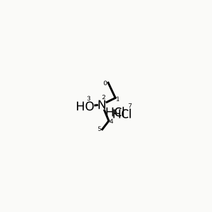 CCN(O)CC.Cl.Cl